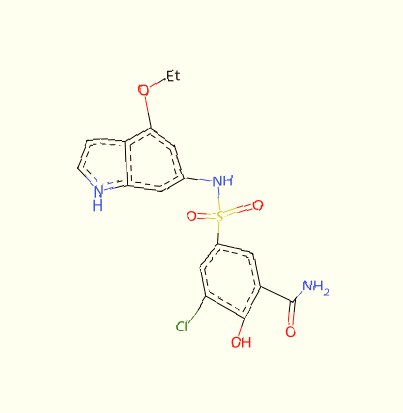 CCOc1cc(NS(=O)(=O)c2cc(Cl)c(O)c(C(N)=O)c2)cc2[nH]ccc12